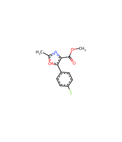 COC(=O)c1nc(C)oc1-c1ccc(F)cc1